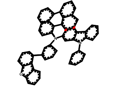 c1ccc(-c2cccc3cccc(-c4ccccc4N(c4cccc(-c5cccc6oc7ccccc7c56)c4)c4ccc5c6ccccc6n(-c6ccccc6)c5c4)c23)cc1